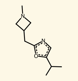 CC(C)c1cnc(CC2CN(C)C2)o1